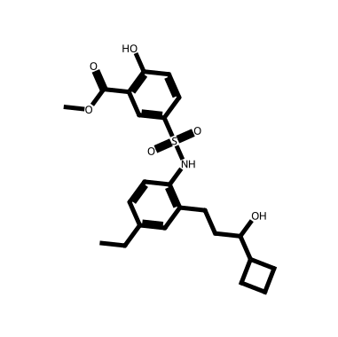 CCc1ccc(NS(=O)(=O)c2ccc(O)c(C(=O)OC)c2)c(CCC(O)C2CCC2)c1